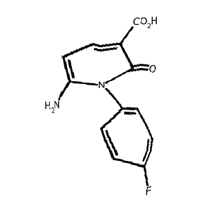 Nc1ccc(C(=O)O)c(=O)n1-c1ccc(F)cc1